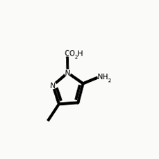 Cc1cc(N)n(C(=O)O)n1